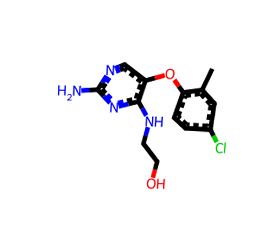 Cc1cc(Cl)ccc1Oc1cnc(N)nc1NCCO